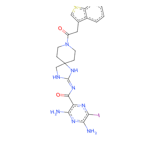 Nc1nc(N)c(C(=O)/N=C2\NCC3(CCN(C(=O)Cc4csc5ccccc45)CC3)N2)nc1I